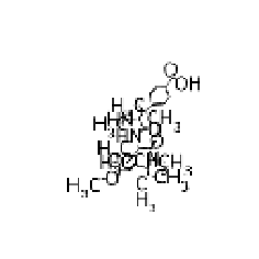 CCOC(=O)/C=C/[C@H](C(C)C)N(C)C(=O)[C@@H](NC(=O)C(NC)C(C)(C)c1ccc(C(=O)O)cc1)C(C)(C)C